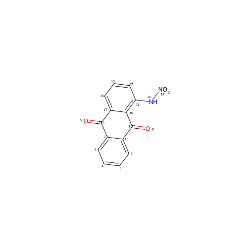 O=C1c2ccccc2C(=O)c2c(N[N+](=O)[O-])cccc21